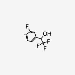 OC(c1cc[c]c(F)c1)C(F)(F)F